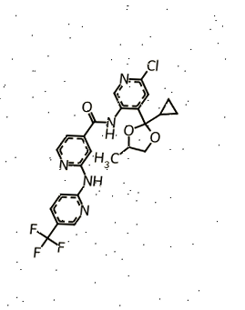 CC1COC(c2cc(Cl)ncc2NC(=O)c2ccnc(Nc3ccc(C(F)(F)F)cn3)c2)(C2CC2)O1